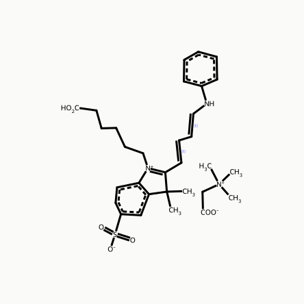 CC1(C)C(/C=C/C=C/Nc2ccccc2)=[N+](CCCCCC(=O)O)c2ccc(S(=O)(=O)[O-])cc21.C[N+](C)(C)CC(=O)[O-]